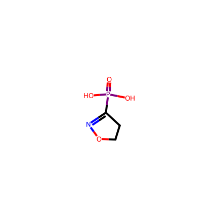 O=P(O)(O)C1=NOCC1